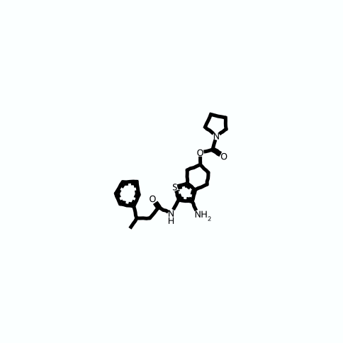 CC(CC(=O)Nc1sc2c(c1N)CCC(OC(=O)N1CCCC1)C2)c1ccccc1